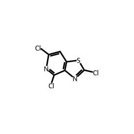 Clc1cc2sc(Cl)nc2c(Cl)n1